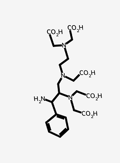 NC(c1ccccc1)C(CN(CCN(CC(=O)O)CC(=O)O)CC(=O)O)N(CC(=O)O)CC(=O)O